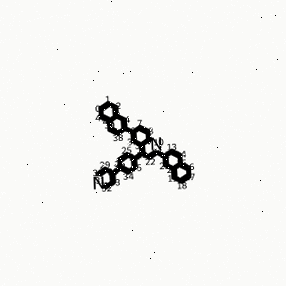 c1ccc2cc(-c3ccc4nc(-c5ccc6ccccc6c5)cc(-c5ccc(-c6ccncc6)cc5)c4c3)ccc2c1